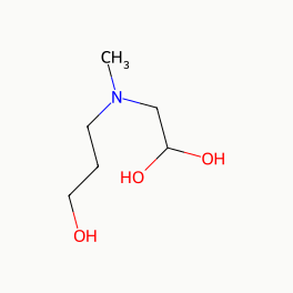 CN(CCCO)CC(O)O